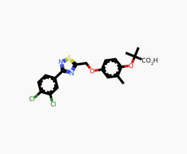 Cc1cc(OCc2nc(-c3ccc(Cl)c(Cl)c3)ns2)ccc1OC(C)(C)C(=O)O